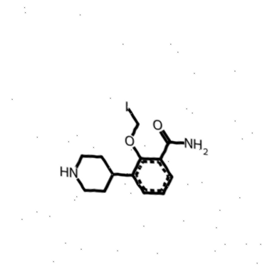 NC(=O)c1cccc(C2CCNCC2)c1OCI